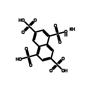 O=S(=O)(O)c1cc(S(=O)(=O)O)c2cc(S(=O)(=O)O)cc(S(=O)(=O)O)c2c1.[KH]